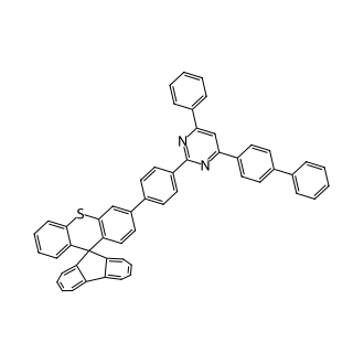 c1ccc(-c2ccc(-c3cc(-c4ccccc4)nc(-c4ccc(-c5ccc6c(c5)Sc5ccccc5C65c6ccccc6-c6ccccc65)cc4)n3)cc2)cc1